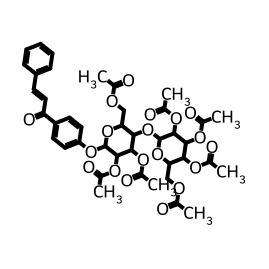 CC(=O)OCC1OC(OC2C(COC(C)=O)OC(Oc3ccc(C(=O)C=Cc4ccccc4)cc3)C(OC(C)=O)C2OC(C)=O)C(OC(C)=O)C(OC(C)=O)C1OC(C)=O